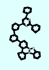 c1ccc(-c2cc(-c3cccc(-c4cccc(-c5ccc6c(c5)-c5ccccc5N5B6Oc6ccccc65)c4)c3)nc(-c3ccccc3)n2)cc1